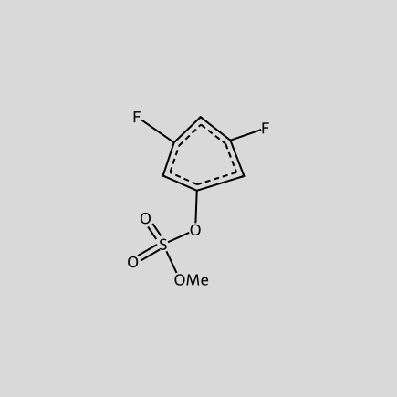 COS(=O)(=O)Oc1cc(F)cc(F)c1